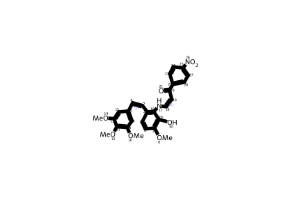 COc1ccc(/C=C\c2cc(OC)c(OC)c(OC)c2)c(N/C=C\C(=O)c2ccc([N+](=O)[O-])cc2)c1O